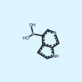 OB(O)c1cncc2[nH]ccc12